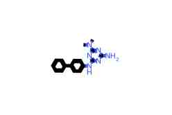 CN(C)c1nc(N)nc(Nc2ccc(-c3ccccc3)cc2)n1